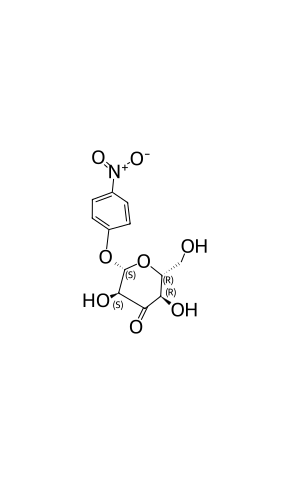 O=C1[C@@H](O)[C@H](Oc2ccc([N+](=O)[O-])cc2)O[C@H](CO)[C@H]1O